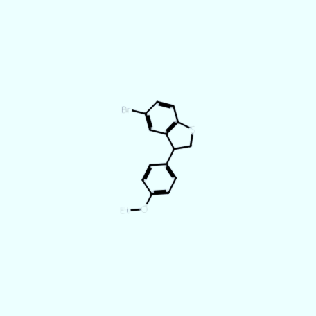 CCOc1ccc(C2CSc3ccc(Br)cc32)cc1